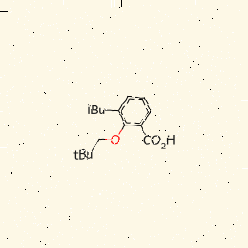 CCC(C)c1cccc(C(=O)O)c1OCC(C)(C)C